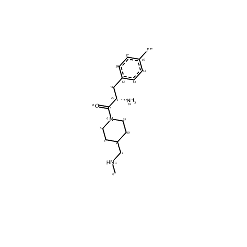 CNCC1CCN(C(=O)[C@@H](N)Cc2ccc(F)cc2)CC1